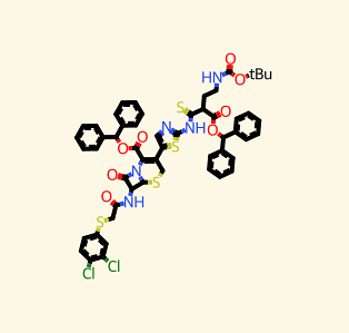 CC(C)(C)OC(=O)NCCC(C(=O)OC(c1ccccc1)c1ccccc1)C(=S)Nc1ncc(C2=C(C(=O)OC(c3ccccc3)c3ccccc3)N3C(=O)C(NC(=O)CSc4ccc(Cl)c(Cl)c4)C3SC2)s1